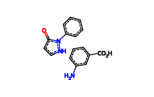 Nc1cccc(C(=O)O)c1.O=c1cc[nH]n1-c1ccccc1